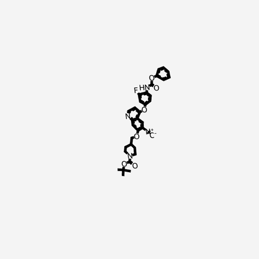 [C-]#[N+]c1cc2c(Oc3ccc(NC(=O)Oc4ccccc4)c(F)c3)ccnc2cc1OCC1CCN(C(=O)OC(C)(C)C)CC1